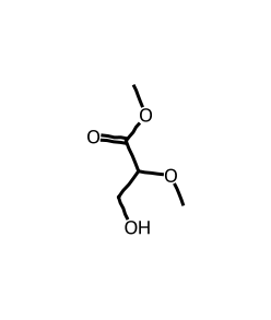 COC(=O)C(CO)OC